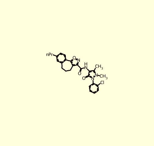 CCCc1ccc2c(c1)CCCc1c(C(=O)Nc3c(C)n(C)n(-c4ccccc4Cl)c3=O)noc1-2